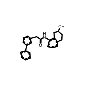 O=C(Cc1cccc(-c2ccccc2)c1)Nc1cccc2c1CC(O)CC2